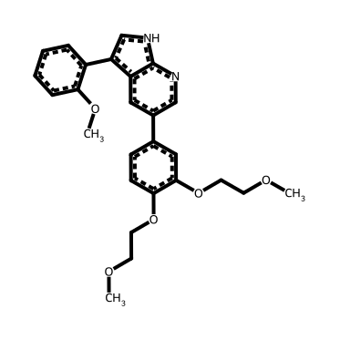 COCCOc1ccc(-c2cnc3[nH]cc(-c4ccccc4OC)c3c2)cc1OCCOC